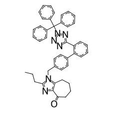 CCCc1nc2c(n1Cc1ccc(-c3ccccc3-c3nnn(C(c4ccccc4)(c4ccccc4)c4ccccc4)n3)cc1)CCCCC2=O